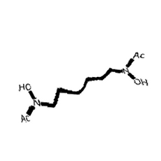 CC(=O)N(O)CCCCCCN(O)C(C)=O